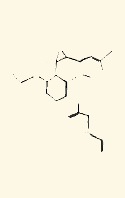 CCNCC(=O)O[C@@H]1CC[C@@H](OCC)[C@@H]([C@@]2(C)OC2CC=C(C)C)[C@@H]1OC